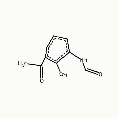 CC(=O)c1cccc(NC=O)c1O